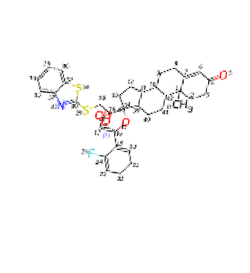 CC12CCC(=O)C=C1CCC1C3CC[C@](O/C(=C\O)C4=CCCC=C4F)(C(=O)CSc4nc5ccccc5s4)C3CCC12